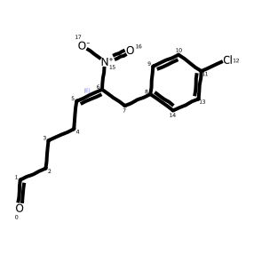 O=CCCC/C=C(\Cc1ccc(Cl)cc1)[N+](=O)[O-]